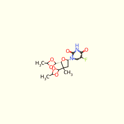 CC1OC([C@@H]2O[C@H](n3cc(F)c(=O)[nH]c3=O)CC2(C)C2OC(C)O2)O1